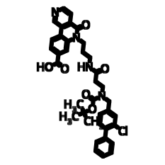 CC(C)(C)OC(=O)N(CCC(=O)NCCCn1c(=O)c2ccncc2c2ccc(C(=O)O)cc21)Cc1ccc(-c2ccccc2)c(Cl)c1